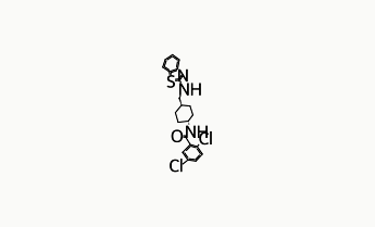 O=C(N[C@H]1CC[C@H](CNc2nc3ccccc3s2)CC1)c1cc(Cl)ccc1Cl